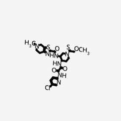 COCC(=S)N1CCC(NC(=O)C(=O)Nc2ccc(Cl)cn2)C(NC(=O)c2nc3c(s2)CN(C)CC3)C1